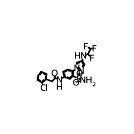 NS(=O)(=O)c1cc(NC(=O)Cc2ccccc2Cl)ccc1-n1cc(NC(F)C(F)F)cn1